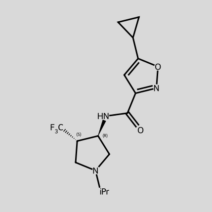 CC(C)N1C[C@H](NC(=O)c2cc(C3CC3)on2)[C@@H](C(F)(F)F)C1